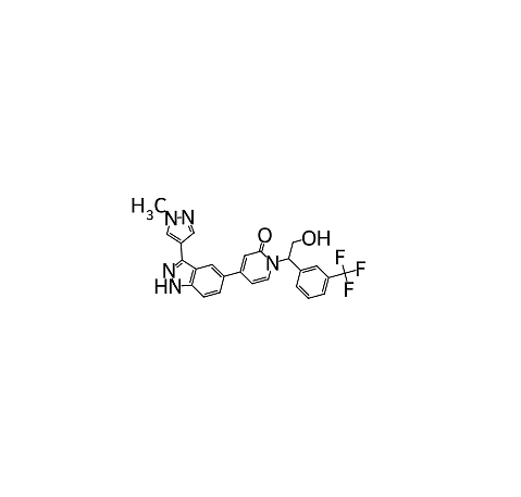 Cn1cc(-c2n[nH]c3ccc(-c4ccn(C(CO)c5cccc(C(F)(F)F)c5)c(=O)c4)cc23)cn1